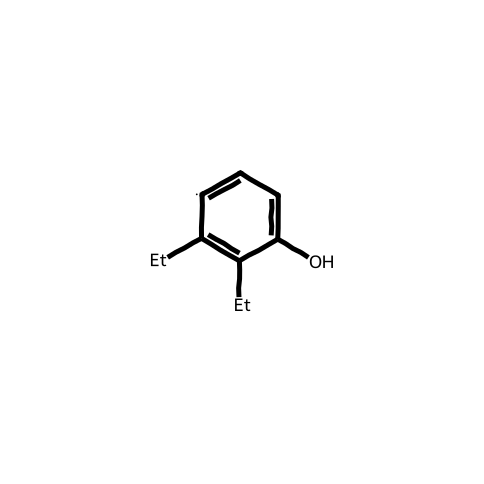 CCc1[c]ccc(O)c1CC